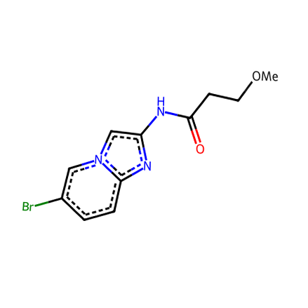 COCCC(=O)Nc1cn2cc(Br)ccc2n1